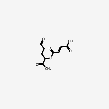 CC(=O)C(CCC=O)OC(=O)C=CC(=O)O